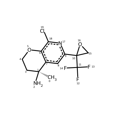 C[C@]1(N)CCOc2c1cc(C1(C(F)(F)F)CO1)nc2Cl